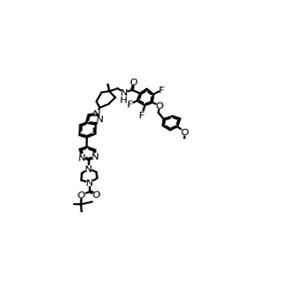 COc1ccc(COc2c(F)cc(C(=O)NCC3(C)CCC(n4cc5ccc(-c6cnc(N7CCN(C(=O)OC(C)(C)C)CC7)nc6)cc5n4)CC3)c(F)c2F)cc1